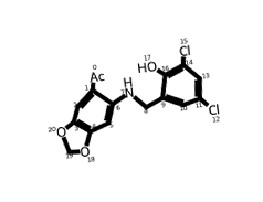 CC(=O)c1cc2c(cc1NCc1cc(Cl)cc(Cl)c1O)OCO2